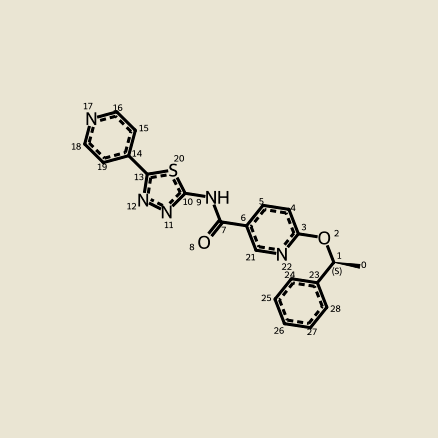 C[C@H](Oc1ccc(C(=O)Nc2nnc(-c3ccncc3)s2)cn1)c1ccccc1